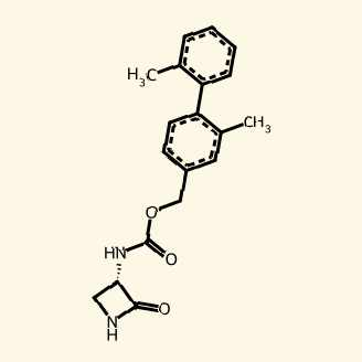 Cc1ccccc1-c1ccc(COC(=O)N[C@H]2CNC2=O)cc1C